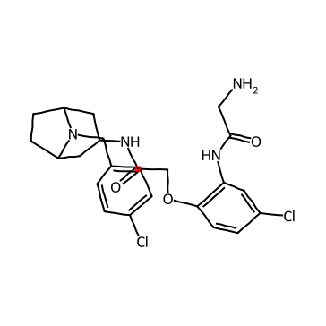 NCC(=O)Nc1cc(Cl)ccc1OCC(=O)NC1CC2CCC(C1)N2Cc1ccc(Cl)cc1